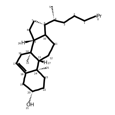 CC(C)CCC[C@@H](C)[C@H]1CC[C@@H]2C1CC[C@H]1[C@@]2(C)CC=C2C[C@@H](O)CC[C@@]21C